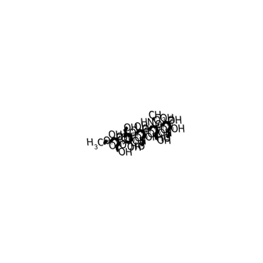 CCO[C@@H]1OC(CO)[C@@H](O[C@@H]2OC(CO)[C@H](O[C@H]3OC(CO)[C@H](O)[C@H](O[C@@H]4OC(CO)[C@H](O)[C@H](O[C@@H]5OC(CO)[C@H](O)[C@H](O)C5O)C4NC(C)=O)C3O)[C@H](O)C2O)[C@H](O)C1O